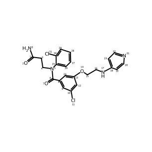 NC(=O)CCN(C(=O)c1cc(Cl)cc(OCCNc2ccncc2)c1)c1ccccc1Cl